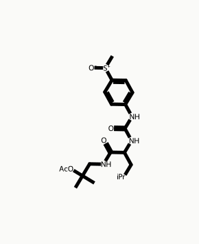 CC(=O)OC(C)(C)CNC(=O)C(CC(C)C)NC(=O)Nc1ccc([S+](C)[O-])cc1